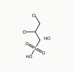 Cl.O=S(=O)(O)CC(Cl)CCl